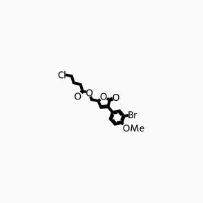 COc1ccc(C2=CC(COC(=O)CCCCl)OC2=O)cc1Br